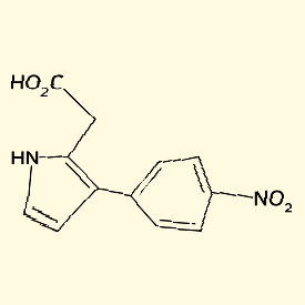 O=C(O)Cc1[nH]ccc1-c1ccc([N+](=O)[O-])cc1